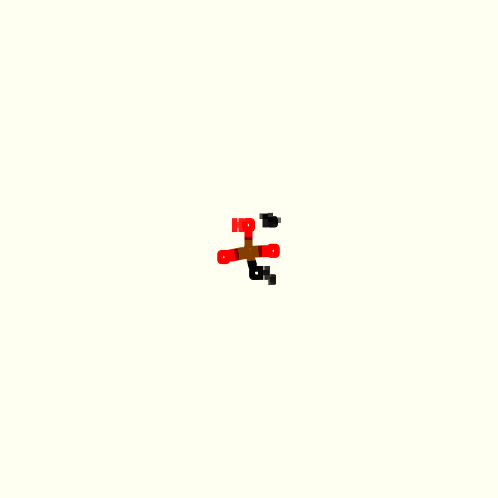 CS(=O)(=O)O.[Tb]